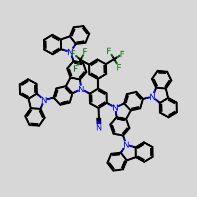 N#Cc1cc(-n2c3ccc(-n4c5ccccc5c5ccccc54)cc3c3cc(-n4c5ccccc5c5ccccc54)ccc32)c(-c2cc(C(F)(F)F)cc(C(F)(F)F)c2)cc1-n1c2ccc(-n3c4ccccc4c4ccccc43)cc2c2cc(-n3c4ccccc4c4ccccc43)ccc21